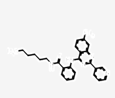 CCCCCCNC(=O)c1ccccc1Nc1nc(-c2cccnc2)nc2cc(C)ccc12